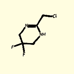 FC1(F)CN=C(CCl)NC1